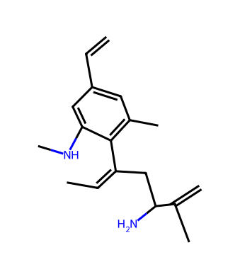 C=Cc1cc(C)c(/C(=C\C)CC(N)C(=C)C)c(NC)c1